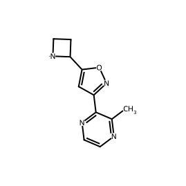 Cc1nccnc1-c1cc(C2CC[N]2)on1